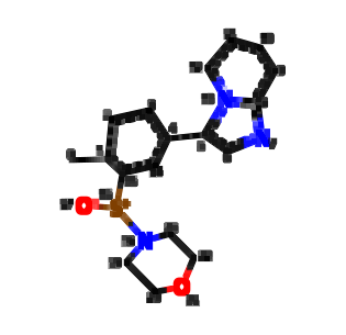 Cc1ccc(-c2cnc3ccccn23)cc1[S+]([O-])N1CCOCC1